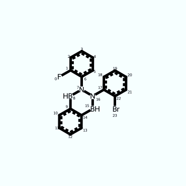 Fc1ccccc1N1Bc2ccccc2BN1c1ccccc1Br